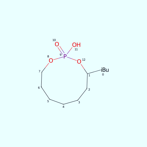 CCC(C)C1CCCCCCOP(=O)(O)O1